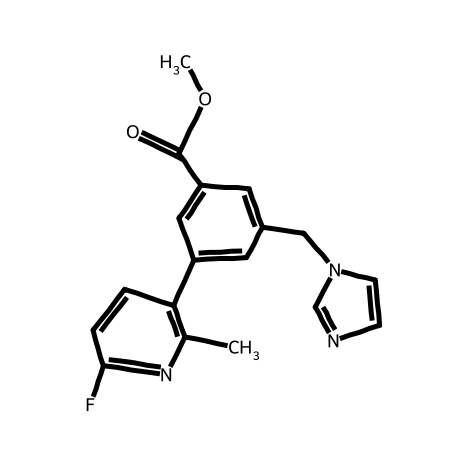 COC(=O)c1cc(Cn2ccnc2)cc(-c2ccc(F)nc2C)c1